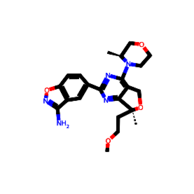 COCC[C@]1(C)OCc2c(N3CCOC[C@@H]3C)nc(-c3ccc4onc(N)c4c3)nc21